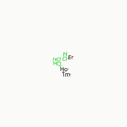 Cl.Cl.Cl.[Er].[Ho].[Tm]